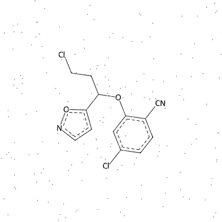 N#Cc1ccc(Cl)cc1OC(CCCl)c1ccno1